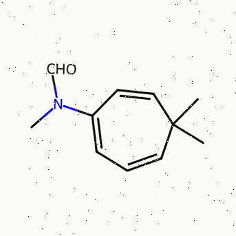 CN(C=O)C1=CC=CC(C)(C)C=C1